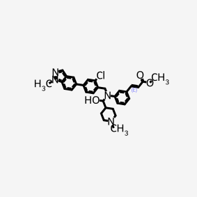 COC(=O)/C=C/c1cccc(N(Cc2ccc(-c3ccc4c(cnn4C)c3)cc2Cl)C(O)C2CCN(C)CC2)c1